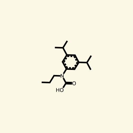 CCCN(C(=O)O)c1cc(C(C)C)cc(C(C)C)c1